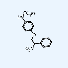 CCOC(=O)Nc1ccc(OCC(c2ccccc2)[N+](=O)[O-])cc1